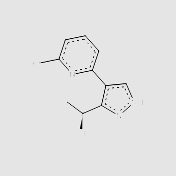 C[C@@H](c1n[nH]cc1-c1[c]ccc(Cl)n1)C(F)(F)F